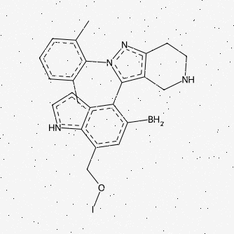 Bc1cc(COI)c2[nH]ccc2c1-c1c2c(nn1-c1c(C)cccc1C)CCNC2